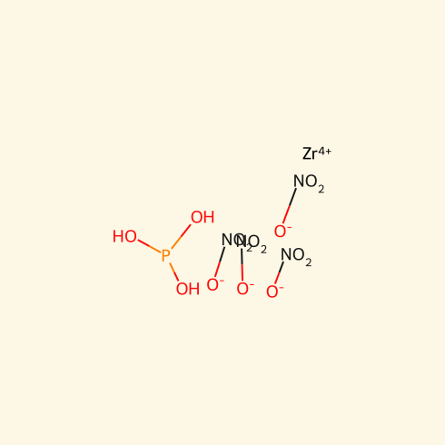 O=[N+]([O-])[O-].O=[N+]([O-])[O-].O=[N+]([O-])[O-].O=[N+]([O-])[O-].OP(O)O.[Zr+4]